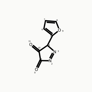 O=C1N=NC(c2ccco2)C1=O